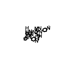 CN(C)[C@H]1CC[C@H](Nc2ncnc3[nH]cc(C4CCC(CN(C)[C@H]5CC[C@H](Nc6ncnc7[nH]cc(C8CCCC8)c67)CC5)O4)c23)CC1